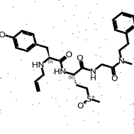 C=CCN[C@@H](Cc1ccc(O)cc1)C(=O)N[C@@H](CC[S+](C)[O-])C(=O)NCC(=O)N(C)CCc1ccccc1